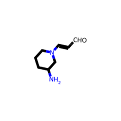 NC1CCCN(C=CC=O)C1